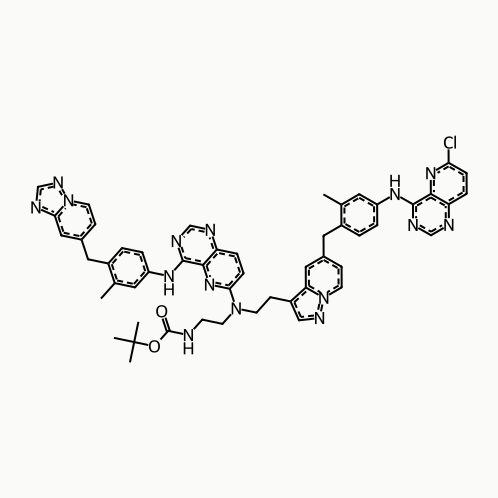 Cc1cc(Nc2ncnc3ccc(Cl)nc23)ccc1Cc1ccn2ncc(CCN(CCNC(=O)OC(C)(C)C)c3ccc4ncnc(Nc5ccc(Cc6ccn7ncnc7c6)c(C)c5)c4n3)c2c1